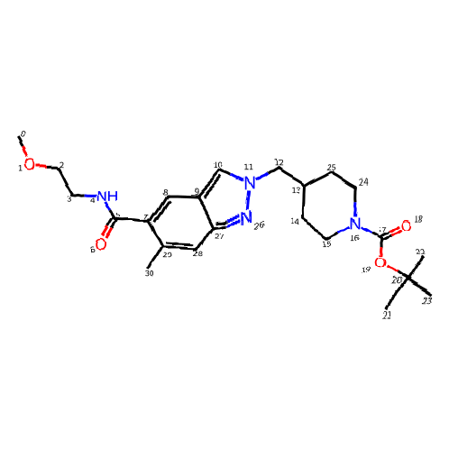 COCCNC(=O)c1cc2cn(CC3CCN(C(=O)OC(C)(C)C)CC3)nc2cc1C